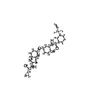 C#CC(C)(C)c1cccc(C(=O)Nc2cc(Oc3ccc4nc(NC(=O)C5CC5)sc4n3)ccc2F)c1